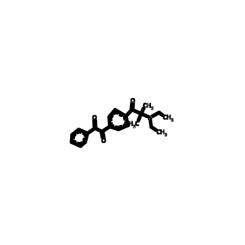 CCN(CC)C(C)(C)C(=O)c1ccc(C(=O)C(=O)c2ccccc2)cc1